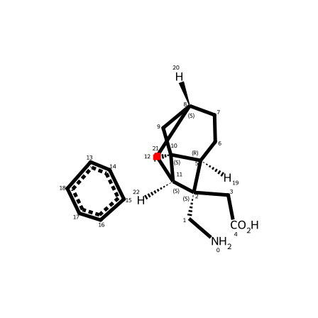 NC[C@@]1(CC(=O)O)[C@@H]2CC[C@H]3C[C@@H]2[C@@H]1C3.c1ccccc1